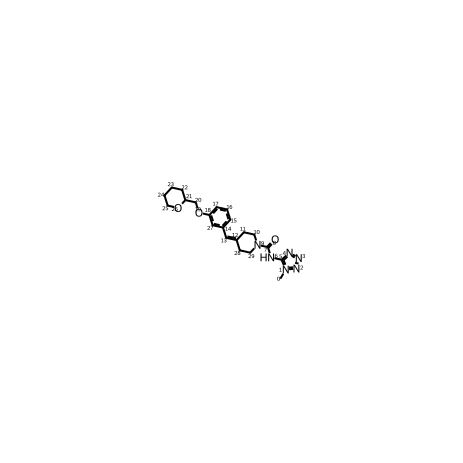 Cn1nnnc1NC(=O)N1CCC(=Cc2cccc(OCC3CCCCO3)c2)CC1